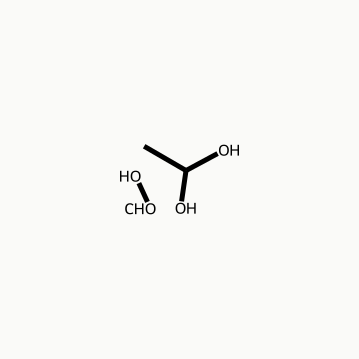 CC(O)O.O=CO